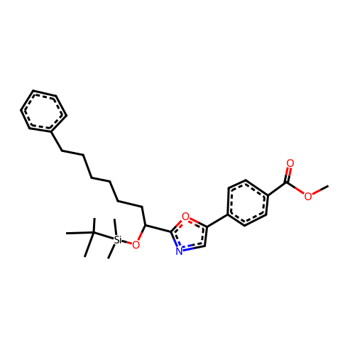 COC(=O)c1ccc(-c2cnc(C(CCCCCCc3ccccc3)O[Si](C)(C)C(C)(C)C)o2)cc1